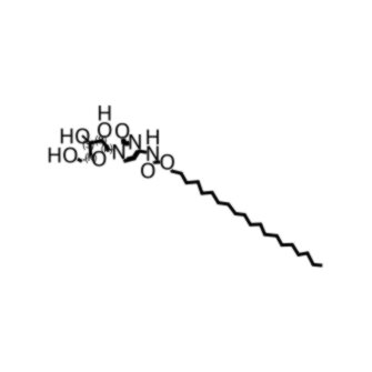 CCCCCCCCCCCCCCCCCCCCOC(=O)Nc1ccn([C@@H]2O[C@H](CO)[C@@H](O)[C@@H]2O)c(=O)n1